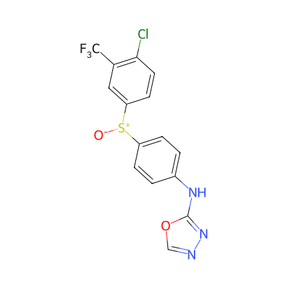 [O-][S+](c1ccc(Nc2nnco2)cc1)c1ccc(Cl)c(C(F)(F)F)c1